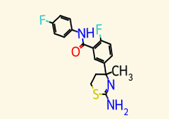 CC1(c2ccc(F)c(C(=O)Nc3ccc(F)cc3)c2)CCSC(N)=N1